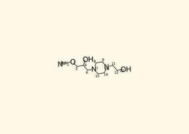 N#COCC(O)CN1CCN(CCO)CC1